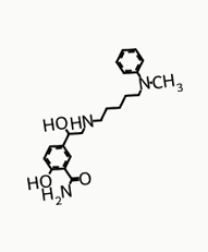 CN(CCCCCNCC(O)c1ccc(O)c(C(N)=O)c1)c1ccccc1